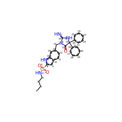 CCCCNS(=O)(=O)c1cc2ccc(CN3C(=N)NC(c4ccccc4)(c4ccccc4)C3=O)cc2[nH]1